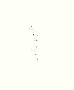 CCCS(=O)(=O)N1CC[C@@H](NC(=O)c2cc(C3CC3)on2)C[C@@H]1C